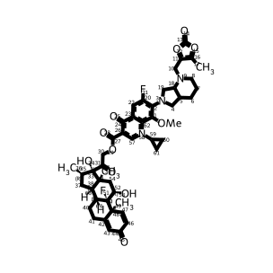 COc1c(N2CC3CCCN(Cc4oc(=O)oc4C)C3C2)c(F)cc2c(=O)c(C(=O)OCC(=O)[C@]3(O)[C@H](C)C[C@@H]4[C@H]5CCC6=CC(=O)C=C[C@@]6(C)[C@]5(F)[C@H](O)C[C@]43C)cn(C3CC3)c12